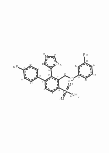 NS(=O)(=O)c1ccc(-c2ccc(F)cc2)c(-c2cnco2)c1COc1cccc(F)c1